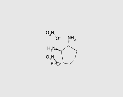 N[C@@H]1CCCC[C@H]1N.O=[N+]([O-])[O-].O=[N+]([O-])[O-].[Pt+2]